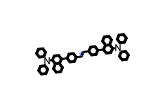 C(=C\c1ccc(-c2ccc(N(c3ccccc3)c3ccccc3)c3ccccc23)cc1)/c1ccc(-c2ccc(N(c3ccccc3)c3ccccc3)c3ccccc23)cc1